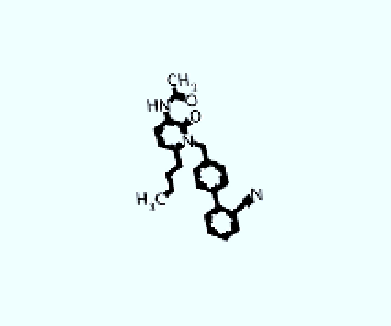 CCCCc1ccc(NC(C)=O)c(=O)n1Cc1ccc(-c2ccccc2C#N)cc1